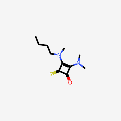 CCCCN(C)c1c(N(C)C)c(=O)c1=S